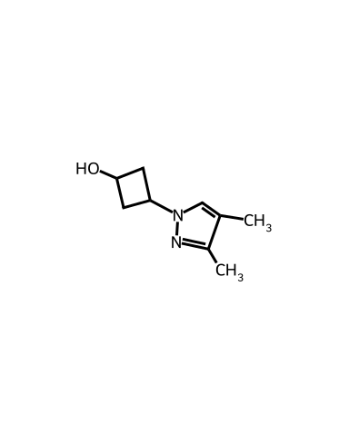 Cc1cn(C2CC(O)C2)nc1C